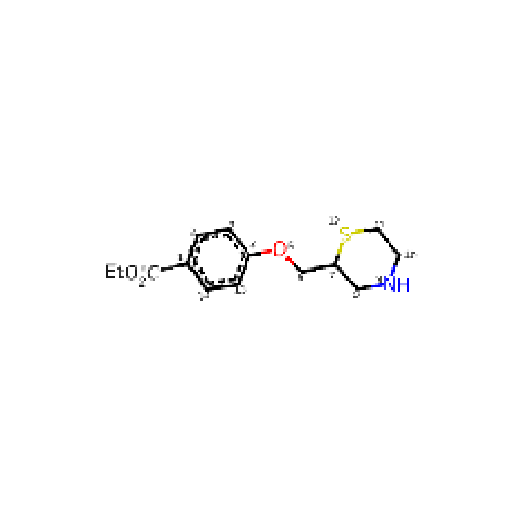 CCOC(=O)c1ccc(OCC2CNCCS2)cc1